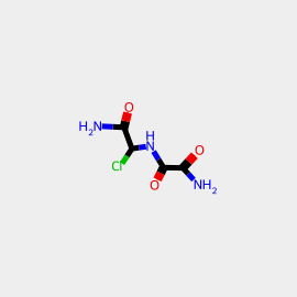 NC(=O)C(=O)NC(Cl)C(N)=O